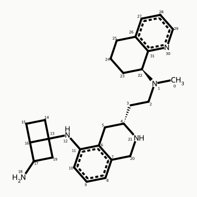 CN(CC[C@H]1Cc2c(cccc2NC23CCC2C(N)C3)CN1)[C@H]1CCCc2cccnc21